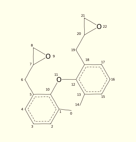 Cc1cccc(CC2CO2)c1Oc1c(C)cccc1CC1CO1